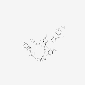 COC[C@@H]1NC(=O)[C@H](C)N(Cc2ccc(Cl)cc2Oc2ccc(-c3cnc(CN(C)C)n3C)cc2)C(=O)C[C@@H](Cc2ccc(C(F)F)cc2)C(=O)N(C)[C@@H](C)CNC(=O)C[C@H](Cc2ccc(Cl)cc2)N(C)C1=O